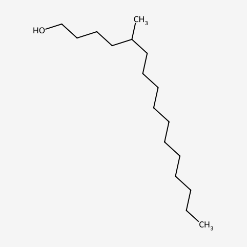 CCCCCCCCCCCC(C)CCCCO